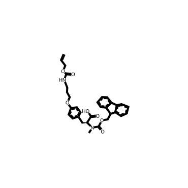 C=CCOC(=O)NCCCOc1ccc(C[C@@H](C(=O)O)N(C)C(=O)OCC2c3ccccc3-c3ccccc32)cc1